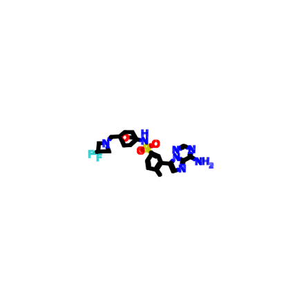 Cc1ccc(S(=O)(=O)NC23CCC(CN4CC(F)(F)C4)(CC2)OC3)cc1-c1cnc2c(N)ncnn12